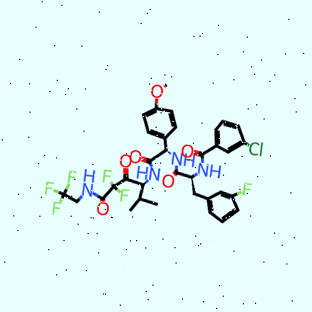 COc1ccc([C@H](NC(=O)[C@H](Cc2cccc(F)c2)NC(=O)c2cccc(Cl)c2)C(=O)N[C@H](C(=O)C(F)(F)C(=O)NCC(F)(F)F)C(C)C)cc1